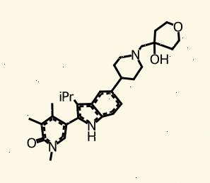 Cc1c(-c2[nH]c3ccc(C4CCN(CC5(O)CCOCC5)CC4)cc3c2C(C)C)cn(C)c(=O)c1C